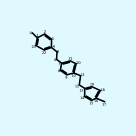 Cc1ccc(CCc2ccc(CCc3ccc(C)cc3)cc2)cc1